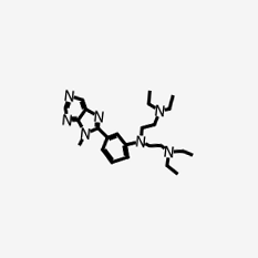 CCN(CC)CCN(CCN(CC)CC)c1cccc(-c2nc3cncnc3n2C)c1